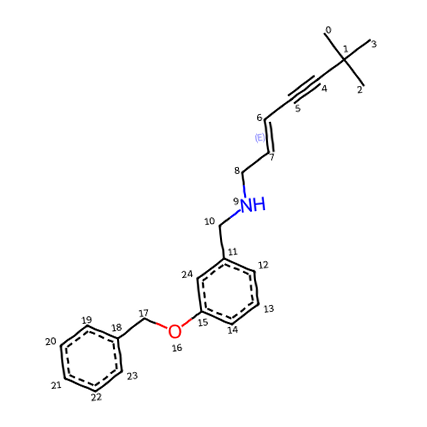 CC(C)(C)C#C/C=C/CNCc1cccc(OCc2ccccc2)c1